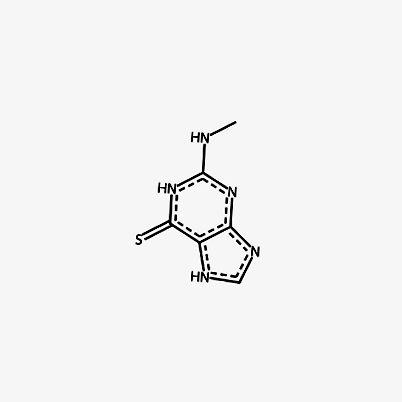 CNc1nc2nc[nH]c2c(=S)[nH]1